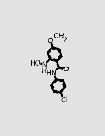 COc1ccc(C(=O)Nc2ccc(Cl)cc2)c(NO)c1